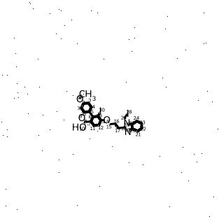 COc1ccc(-c2c(C(=O)O)ccc(OCC=Cc3nc4ccccc4n3CI)c2I)cc1